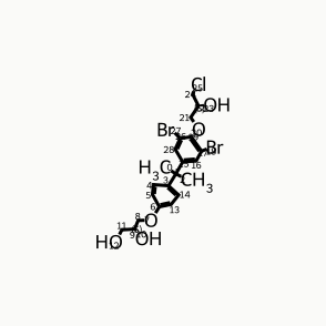 CC(C)(c1ccc(OC[C@@H](O)CO)cc1)c1cc(Br)c(OC[C@H](O)CCl)c(Br)c1